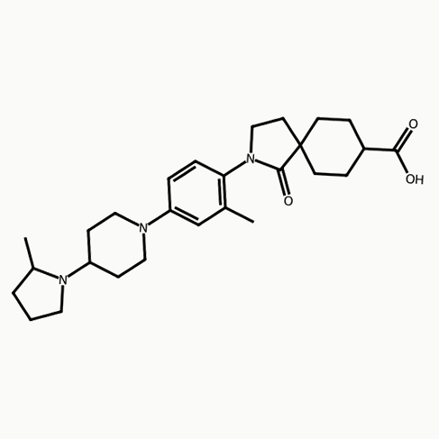 Cc1cc(N2CCC(N3CCCC3C)CC2)ccc1N1CCC2(CCC(C(=O)O)CC2)C1=O